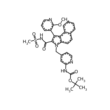 COc1ncccc1-c1c(C(=O)NS(C)(=O)=O)n(Cc2ccnc(NC(=O)OC(C)(C)C)c2)c2ccc3ccccc3c12